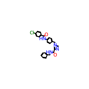 O=C(Nc1ccc(Cn2cnc(C(=O)NCc3ccccc3)c2)cc1)c1ccc(Cl)cc1